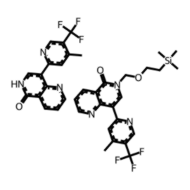 Cc1cc(-c2c[nH]c(=O)c3cccnc23)ncc1C(F)(F)F.Cc1cc(-c2cn(COCC[Si](C)(C)C)c(=O)c3cccnc23)ncc1C(F)(F)F